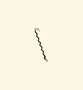 CCCCCCCCCCCC/C=C/[S]